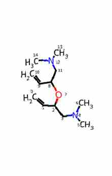 C=CC(CN(C)C)OC(C=C)CN(C)C